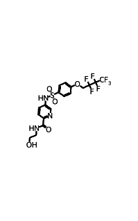 O=C(NCCO)c1ccc(NS(=O)(=O)c2ccc(OCC(F)(F)C(F)(F)C(F)(F)F)cc2)cn1